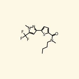 CCCCN(C)C(=O)c1ccc(-c2cc(C(F)(F)F)n(C)n2)s1